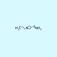 CCCN1CC(SN)C1